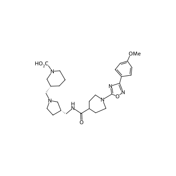 COc1ccc(-c2noc(N3CCC(C(=O)NC[C@@H]4CCN(C[C@H]5CCCN(C(=O)O)C5)C4)CC3)n2)cc1